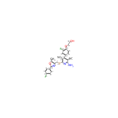 [C-]#[N+]c1c(N)nc(SCc2nc(-c3ccc(F)cc3)oc2C)c(C#N)c1-c1ccc(OCCO)c(F)c1